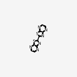 c1cnc2sc(-c3nc4nccnc4s3)nc2n1